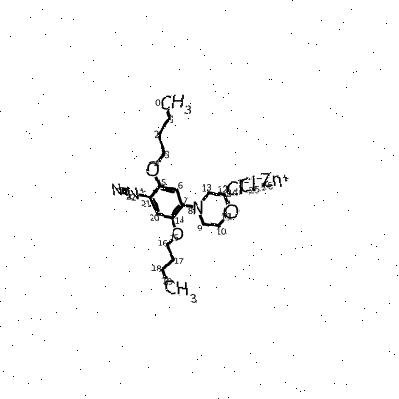 CCCCOc1cc(N2CCOCC2)c(OCCCC)cc1[N+]#N.[Cl-].[Cl-].[Zn+]